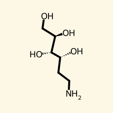 NCC[C@@H](O)[C@H](O)[C@H](O)CO